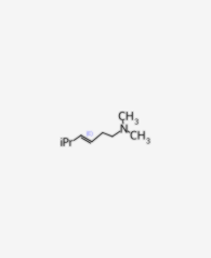 CC(C)/C=C/CCN(C)C